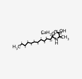 CCCCCCCCCCCC(=O)NC(C)C(=O)O.[CaH2]